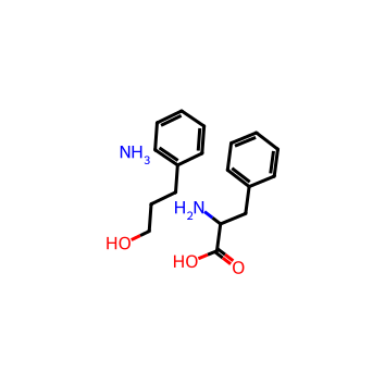 N.NC(Cc1ccccc1)C(=O)O.OCCCc1ccccc1